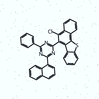 Clc1c(-c2nc(-c3ccccc3)nc(-c3cccc4ccccc34)n2)c2c3ccccc3sc2c2ccccc12